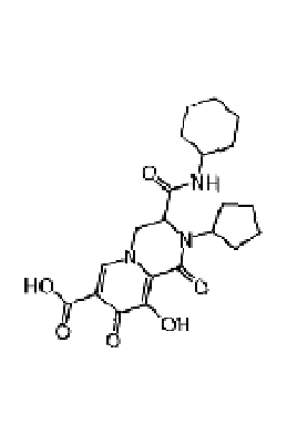 O=C(O)c1cn2c(c(O)c1=O)C(=O)N(C1CCCC1)C(C(=O)NC1CCCCC1)C2